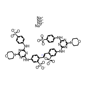 O=S(=O)([O-])c1ccc(Nc2nc(Nc3ccc(/C=C/c4ccc(Nc5nc(Nc6ccc(S(=O)(=O)[O-])cc6)nc(N6CCOCC6)n5)cc4S(=O)(=O)[O-])c(S(=O)(=O)[O-])c3)nc(N3CCOCC3)n2)cc1.[Na+].[Na+].[Na+].[Na+]